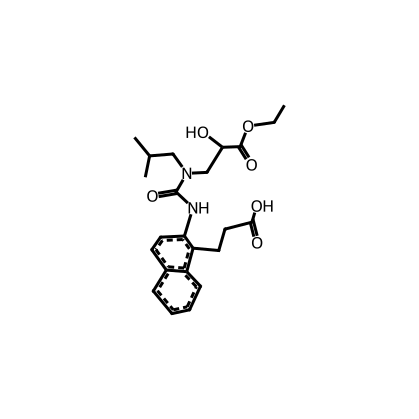 CCOC(=O)C(O)CN(CC(C)C)C(=O)Nc1ccc2ccccc2c1CCC(=O)O